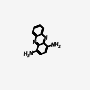 Nc1ccc(N)c2nc3ccccc3nc12